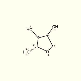 C[C@H]1OCC(O)C1O